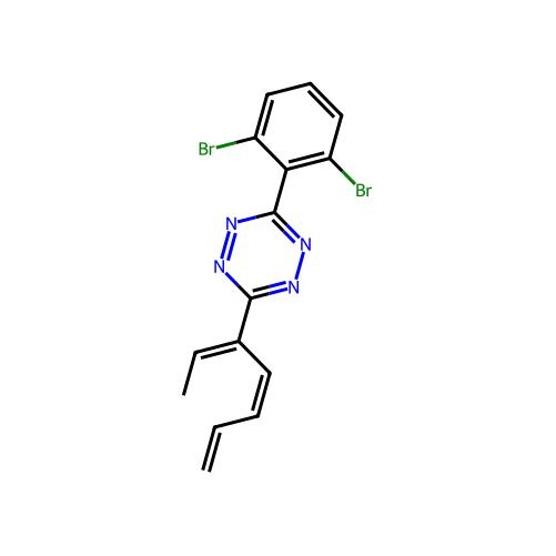 C=C/C=C\C(=C/C)c1nnc(-c2c(Br)cccc2Br)nn1